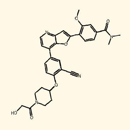 COc1cc(C(=O)N(C)C)ccc1-c1cc2nccc(-c3ccc(OC4CCN(C(=O)CO)CC4)c(C#N)c3)c2o1